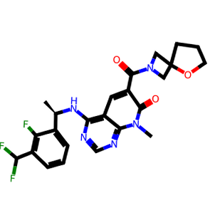 C[C@@H](Nc1ncnc2c1cc(C(=O)N1CC3(CCCO3)C1)c(=O)n2C)c1cccc(C(F)F)c1F